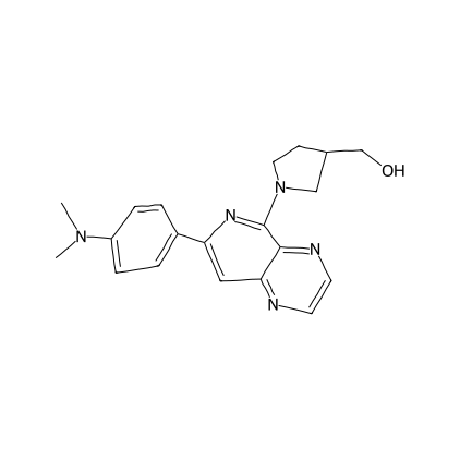 CN(C)c1ccc(-c2cc3nccnc3c(N3CCC(CO)C3)n2)cc1